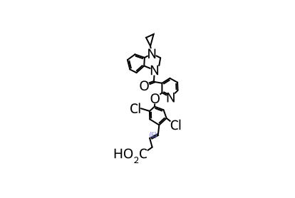 O=C(O)C/C=C/c1cc(Cl)c(Oc2ncccc2C(=O)N2CCN(C3CC3)c3ccccc32)cc1Cl